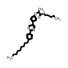 CCCCCCCCCc1ccc(-c2ncc(-c3ccc(OC(C)C(=O)OCCCCC)cc3)cn2)cc1